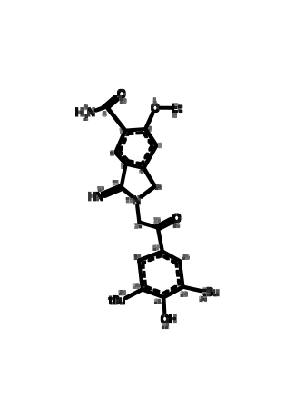 CCOc1cc2c(cc1C(N)=O)C(=N)N(CC(=O)c1cc(C(C)(C)C)c(O)c(C(C)(C)C)c1)C2